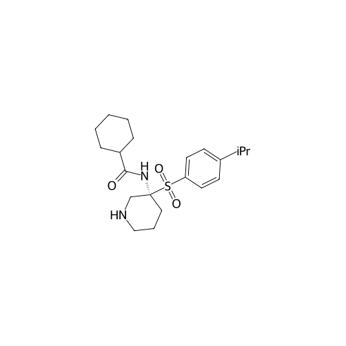 CC(C)c1ccc(S(=O)(=O)[C@@]2(NC(=O)C3CCCCC3)CCCNC2)cc1